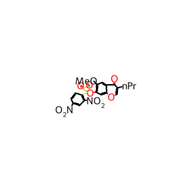 CCCc1coc2cc(OS(=O)(=O)c3ccc([N+](=O)[O-])cc3[N+](=O)[O-])c(OC)cc2c1=O